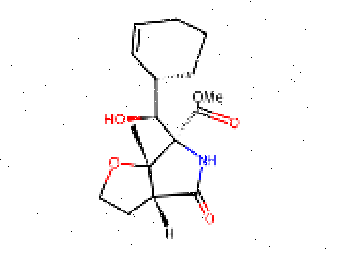 COC(=O)[C@]1([C@@H](O)[C@@H]2C=CCCC2)NC(=O)[C@@H]2CCO[C@@]21C